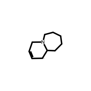 [CH]1C=CCN2CCCCCC12